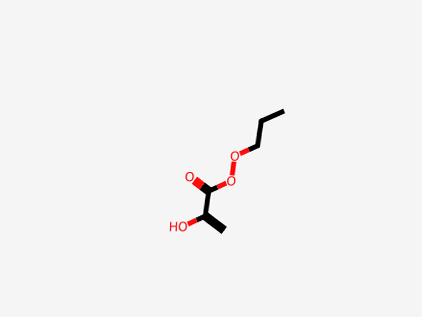 C=C(O)C(=O)OOCCC